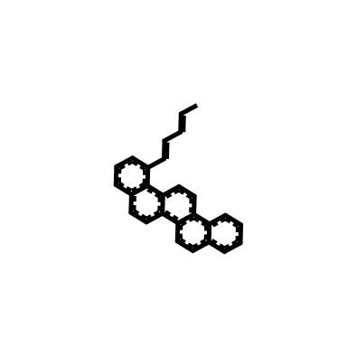 CC=CC=Cc1cccc2ccc3c4ccc5ccccc5c4ccc3c12